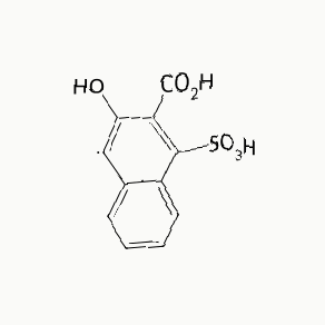 O=C(O)c1c(O)[c]c2ccccc2c1S(=O)(=O)O